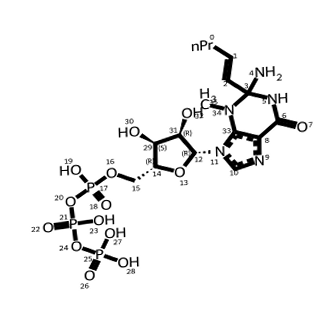 CCCC=CC1(N)NC(=O)c2ncn([C@@H]3O[C@H](COP(=O)(O)OP(=O)(O)OP(=O)(O)O)[C@@H](O)[C@H]3O)c2N1C